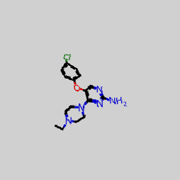 CCN1CCN(c2nc(N)ncc2Oc2ccc(Cl)cc2)CC1